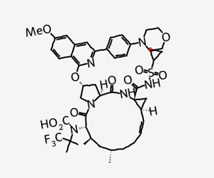 COc1ccc2c(O[C@@H]3C[C@H]4C(=O)N[C@]5(C(=O)NS(=O)(=O)C6CC6)C[C@H]5C=CCC[C@H](C)C[C@@H](C)[C@H](N(C(=O)O)C(C)(C)C(F)(F)F)C(=O)N4C3)nc(-c3ccc(N4CCOCC4)cc3)cc2c1